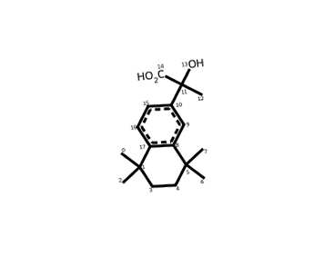 CC1(C)CCC(C)(C)c2cc(C(C)(O)C(=O)O)ccc21